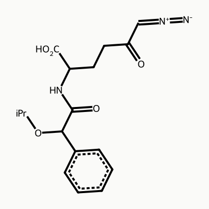 CC(C)OC(C(=O)NC(CCC(=O)C=[N+]=[N-])C(=O)O)c1ccccc1